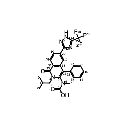 CC(C)Cn1c(N(C)C(=O)O)c(-c2ccccc2)c2cc(-c3n[nH]c(C(F)(F)F)n3)ccc2c1=O